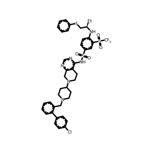 CC[C@H](CSc1ccccc1)Nc1ccc(S(=O)(=O)Nc2ncnc3c2CCN(C2CCN(Cc4ccccc4-c4ccc(Cl)cc4)CC2)C3)cc1S(=O)(=O)C(F)(F)F